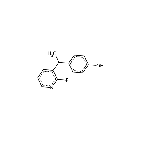 CC(c1ccc(O)cc1)c1cccnc1F